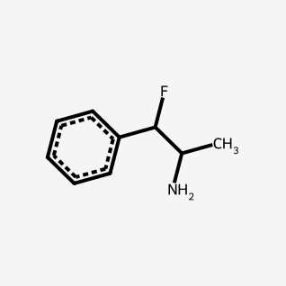 CC(N)C(F)c1ccccc1